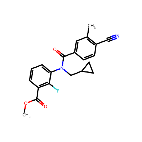 COC(=O)c1cccc(N(CC2CC2)C(=O)c2ccc(C#N)c(C)c2)c1F